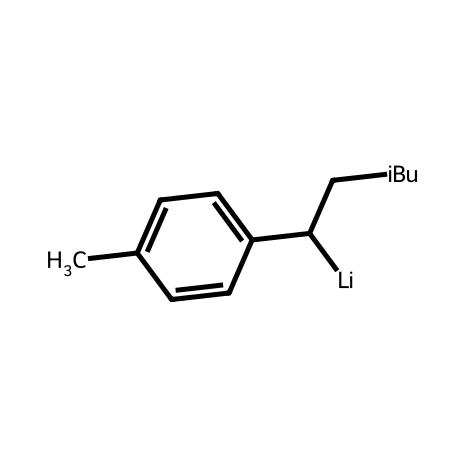 [Li][CH](CC(C)CC)c1ccc(C)cc1